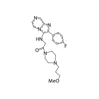 COCCCN1CCN(C(=O)CNc2c(-c3ccc(F)cc3)nc3cnccn23)CC1